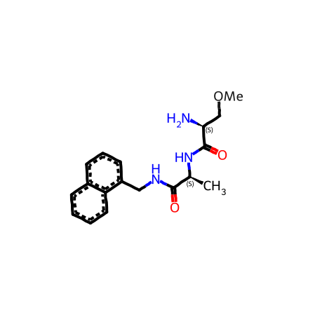 COC[C@H](N)C(=O)N[C@@H](C)C(=O)NCc1cccc2ccccc12